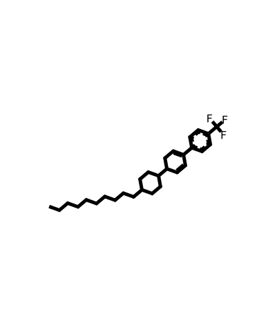 CCCCCCCCCCC1CCC(C2C=CC(c3ccc(C(F)(F)F)cc3)=CC2)CC1